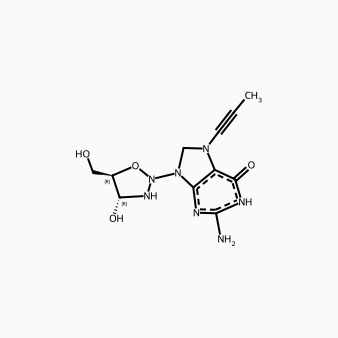 CC#CN1CN(N2N[C@H](O)[C@@H](CO)O2)c2nc(N)[nH]c(=O)c21